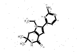 CC1(C)Cc2c(cc(-c3ccnc(N)n3)n2CC(F)(F)F)C(=O)N1